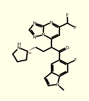 Cn1ccc2cc(C(=O)C(CC[C@@H]3CCCN3)c3cc(C(F)F)nc4ncnn34)c(F)cc21